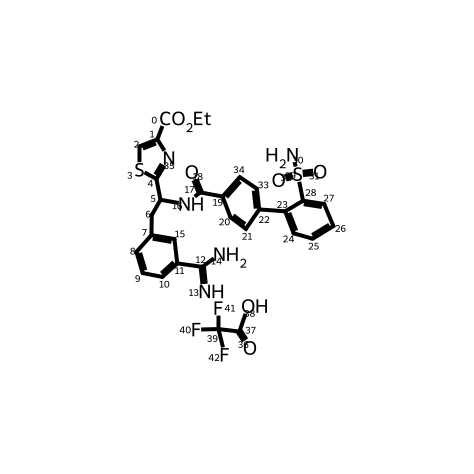 CCOC(=O)c1csc(C(Cc2cccc(C(=N)N)c2)NC(=O)c2ccc(-c3ccccc3S(N)(=O)=O)cc2)n1.O=C(O)C(F)(F)F